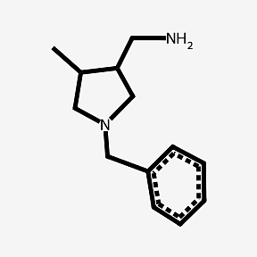 CC1CN(Cc2ccccc2)CC1CN